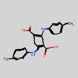 Cc1ccc(NC2=C(C(=O)O)CC(Nc3ccc(C)cc3)=C(C(=O)O)C2)cc1